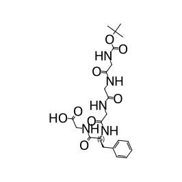 CC(C)(C)OC(=O)NCC(=O)NCC(=O)NCC(=O)N[C@@H](Cc1ccccc1)C(=O)NCC(=O)O